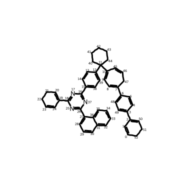 C1=CC(c2ccc(C3=CC=C(C4(c5ccc(-c6nc(C7=CCCC=C7)nc(-c7cccc8ccccc78)n6)cc5)CCCCC4)C=CC3)cc2)=CCC1